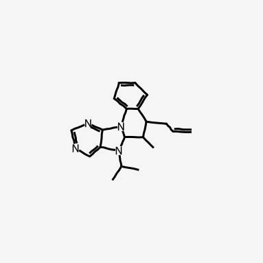 C=CCC1c2ccccc2N2c3ncncc3N(C(C)C)C2C1C